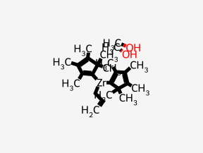 C=C[CH2][Zr]([C]1=C(C)C(C)=C(C)C1(C)C)[C]1=C(C)C(C)=C(C)C1(C)C.CO.CO